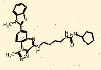 Cc1nnc2c(NCCCCNC(=O)NC3CCCCC3)nc3cc(-c4nc5ccccc5n4C)ccc3n12